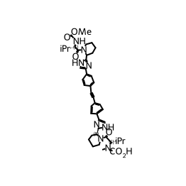 COC(=O)N[C@H](C(=O)N1CCCCC1c1nc(-c2ccc(C#Cc3ccc(-c4c[nH]c([C@@H]5CCCCN5C(=O)[C@H](C(C)C)N(C)C(=O)O)n4)cc3)cc2)c[nH]1)C(C)C